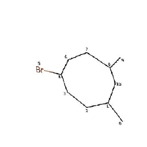 CC1CCC(Br)CCC(C)C1